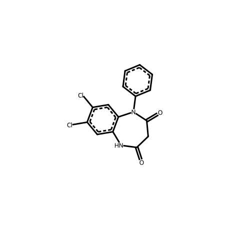 O=C1CC(=O)N(c2ccccc2)c2cc(Cl)c(Cl)cc2N1